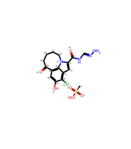 CS(=O)(=O)O.NN=CNC(=O)c1cc2c(Cl)c(O)cc3c2n1CCCCC3=O